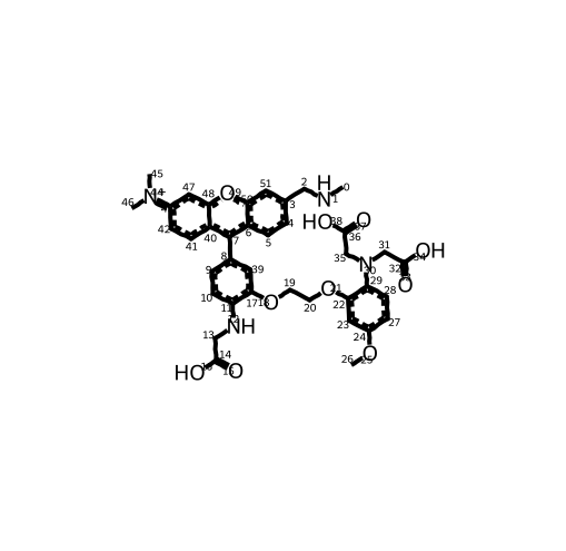 CNCc1ccc2c(-c3ccc(NCC(=O)O)c(OCCOc4cc(OC)ccc4N(CC(=O)O)CC(=O)O)c3)c3ccc(=[N+](C)C)cc-3oc2c1